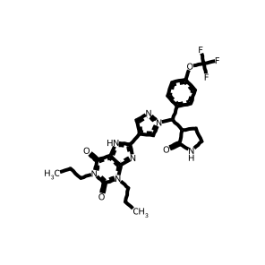 CCCn1c(=O)c2[nH]c(-c3cnn(C(c4ccc(OC(F)(F)F)cc4)C4CCNC4=O)c3)nc2n(CCC)c1=O